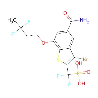 CC(F)(F)CCOc1cc(C(N)=O)cc2c(Br)c(C(F)(F)P(=O)(O)O)sc12